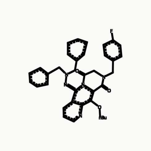 CCCCOc1c2n(/c(=N\N(Cc3ccccc3)Cc3ccccc3)c3cccnc13)C(=O)CN(Cc1ccc(F)cc1)C2=O